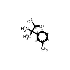 CC(N)(C(=O)N=O)c1cccc(C(F)(F)F)c1